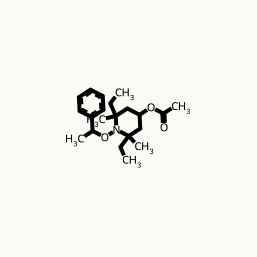 CCC1(C)CC(OC(C)=O)CC(C)(CC)N1OC(C)c1ccccc1